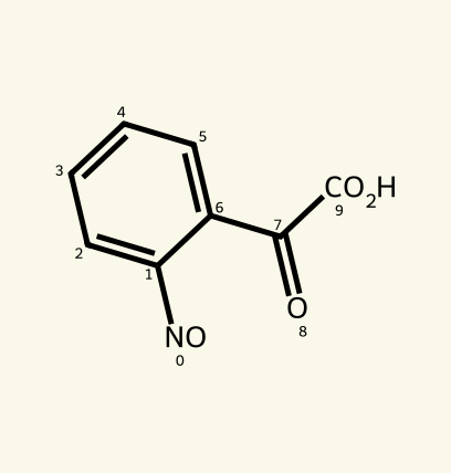 O=Nc1ccccc1C(=O)C(=O)O